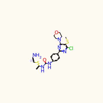 C=C(NC(=O)Nc1ccc(-c2nc(Cl)c(SC)c(N3CCOCC3)n2)cc1)S/C=C\N